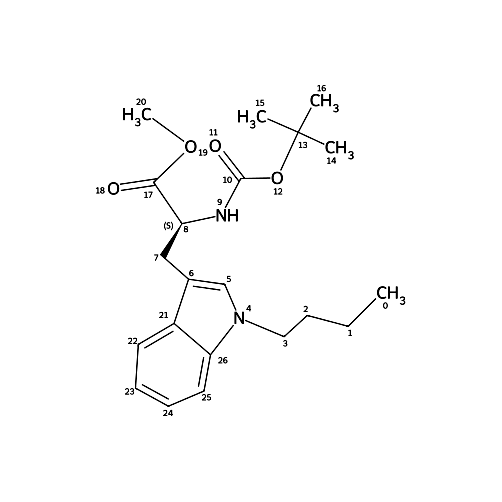 CCCCn1cc(C[C@H](NC(=O)OC(C)(C)C)C(=O)OC)c2ccccc21